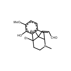 CCC12CCN(C)C(Cc3ccc(OC)c(O)c31)C2(/C=C\C=O)OC(C)=O